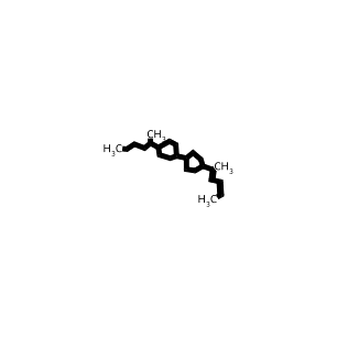 C/C=C\C=C(/C)C1CCC(C2CCC(C(C)CCCC)CC2)CC1